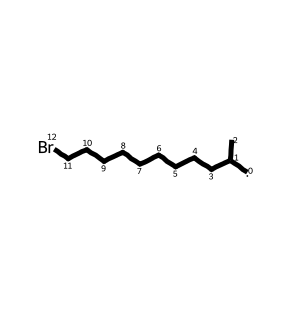 [CH2]C(C)CCCCCCCCCBr